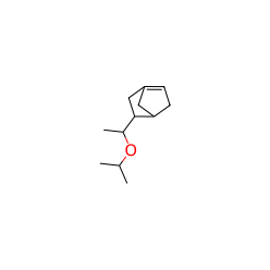 CC(C)OC(C)C1CC2=CCC1C2